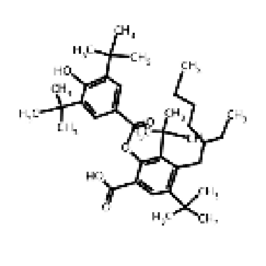 CCCCC(CC)Cc1c(C(C)(C)C)cc(C(=O)O)c(OC(=O)c2cc(C(C)(C)C)c(O)c(C(C)(C)C)c2)c1C(C)(C)C